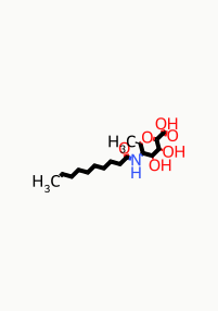 CCCCCCCCCC(=O)NC1[C@H](C)OC(C(=O)O)[C@@H](O)[C@@H]1O